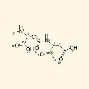 CNC(CC(=O)NC(CC(=O)O)C(C)=O)C(=O)O